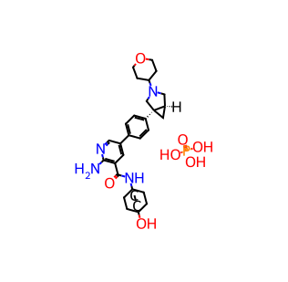 Nc1ncc(-c2ccc([C@@]34C[C@@H]3CN(C3CCOCC3)C4)cc2)cc1C(=O)NC12CCC(O)(CC1)CC2.O=P(O)(O)O